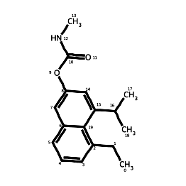 CCc1cccc2cc(OC(=O)NC)cc(C(C)C)c12